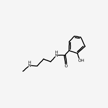 CNCCCNC(=O)c1ccccc1O